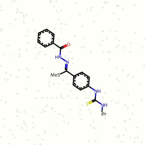 CS/C(=N\NC(=O)c1ccccc1)c1ccc(NC(=S)NC(C)C)cc1